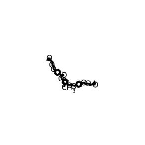 Cc1cc(OC(=O)C2CCC(OCOCC3CO3)CC2)ccc1OCOC1CCC(OCOCC2CO2)CC1